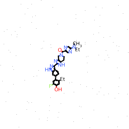 CCc1cc(O)c(F)cc1-c1ccc2c(-c3nc4c([nH]3)CCN(C(=O)c3cnc(N(C)CC)cn3)C4)n[nH]c2c1